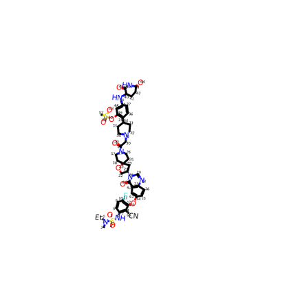 CCN(C)S(=O)(=O)Nc1ccc(F)c(Oc2ccc3ncn([C@@H]4COC5(CCN(C(=O)CN6CCC(c7ccc(NC8CCC(=O)NC8=O)cc7OS(C)(=O)=O)CC6)CC5)C4)c(=O)c3c2)c1C#N